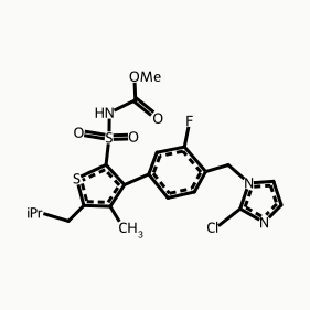 COC(=O)NS(=O)(=O)c1sc(CC(C)C)c(C)c1-c1ccc(Cn2ccnc2Cl)c(F)c1